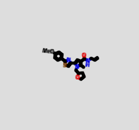 C=CCNC(=O)c1cc(-c2csc(-c3ccc(OC)cc3)n2)n(CC2CCCO2)c1C